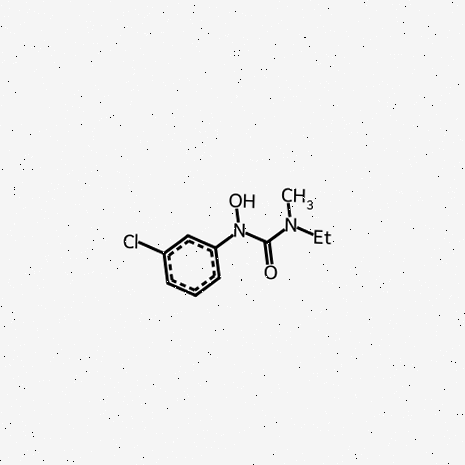 CCN(C)C(=O)N(O)c1cccc(Cl)c1